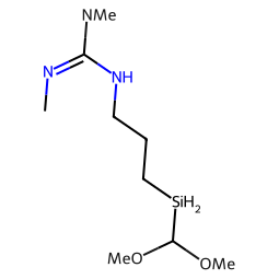 CN=C(NC)NCCC[SiH2]C(OC)OC